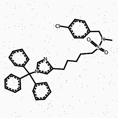 CN(Cc1ccc(Cl)cc1)S(=O)(=O)CCCCCc1cn(C(c2ccccc2)(c2ccccc2)c2ccccc2)cn1